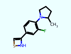 CC1CCCN1c1ccc(-c2cs[nH]2)cc1F